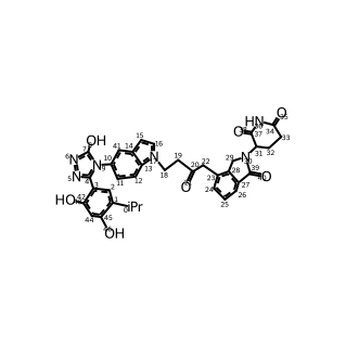 CC(C)c1cc(-c2nnc(O)n2-c2ccc3c(ccn3CCC(=O)Cc3cccc4c3CN(C3CCC(=O)NC3=O)C4=O)c2)c(O)cc1O